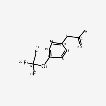 CC(=S)Cc1ccc(OC(F)(F)F)cc1